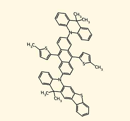 Cc1ccc(-c2c3ccc(N4c5ccccc5C(C)(C)c5cc6c(cc54)sc4ccccc46)cc3c(-c3ccc(C)s3)c3ccc(N4c5ccccc5C(C)(C)c5ccccc54)cc23)s1